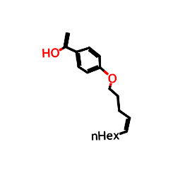 C=C(O)c1ccc(OCCC/C=C\CCCCCC)cc1